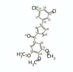 COc1cc(C(=O)c2cc(-c3cc(Cl)cc(Cl)c3)cs2)cc(OC)c1OC